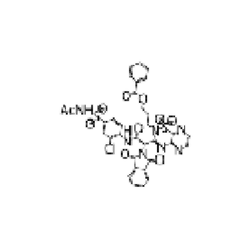 CC(=O)NS(=O)(=O)c1ccc(NC(=O)C(C2=Nc3nccnc3S(=O)(=O)N2CCCOC(=O)c2ccccc2)N2C(=O)c3ccccc3C2=O)c(Cl)c1